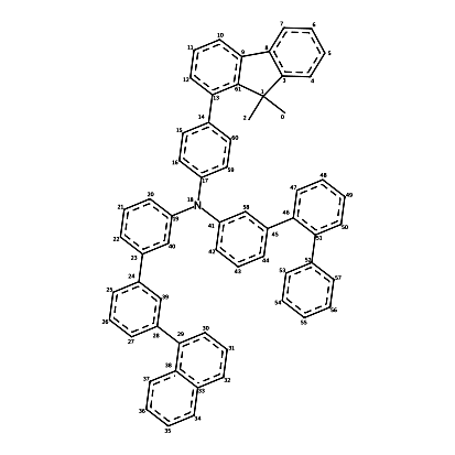 CC1(C)c2ccccc2-c2cccc(-c3ccc(N(c4cccc(-c5cccc(-c6cccc7ccccc67)c5)c4)c4cccc(-c5ccccc5-c5ccccc5)c4)cc3)c21